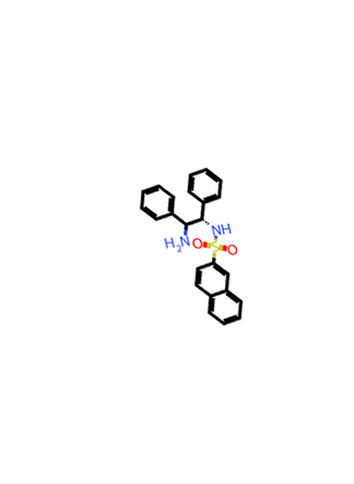 NC(c1ccccc1)[C@@H](NS(=O)(=O)c1ccc2ccccc2c1)c1ccccc1